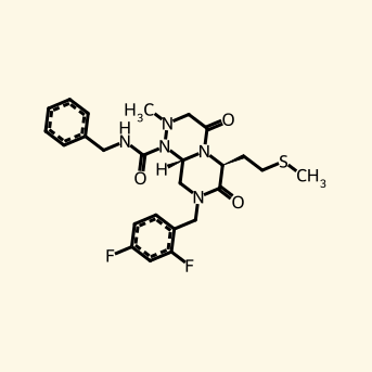 CSCC[C@H]1C(=O)N(Cc2ccc(F)cc2F)C[C@H]2N1C(=O)CN(C)N2C(=O)NCc1ccccc1